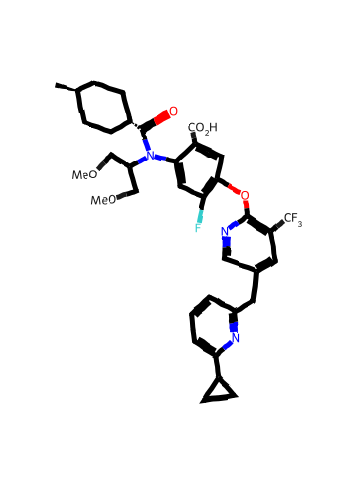 COCC(COC)N(c1cc(F)c(Oc2ncc(Cc3cccc(C4CC4)n3)cc2C(F)(F)F)cc1C(=O)O)C(=O)[C@H]1CC[C@H](C)CC1